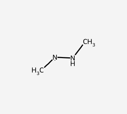 C[N]NC